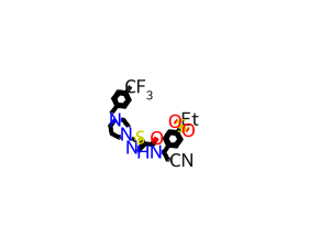 CCS(=O)(=O)c1ccc(C(CC#N)NC(=O)c2cnc(N3CCCN(Cc4ccc(C(F)(F)F)cc4)CC3)s2)cc1